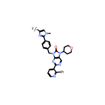 CC(C)c1ncccc1-c1ncc2c(n1)n(Cc1ccc(-c3nc(C(F)(F)F)cn3C)cc1)c(=O)n2C1CCOCC1